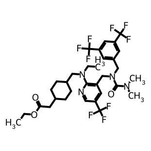 CCOC(=O)CC1CCC(CN(CC)c2ncc(C(F)(F)F)cc2CN(Cc2cc(C(F)(F)F)cc(C(F)(F)F)c2)C(=O)N(C)C)CC1